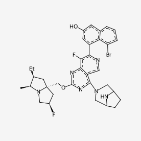 CC[C@H]1C[C@@]2(COc3nc(N4CC5CCC(C4)N5)c4cnc(-c5cc(O)cc6cccc(Br)c56)c(F)c4n3)C[C@@H](F)CN2[C@H]1C